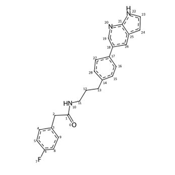 O=C(Cc1ccc(F)cc1)NCCCc1ccc(-c2cnc3[nH]ccc3c2)cc1